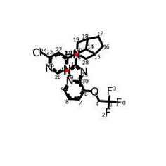 FC(F)(F)COc1cccn2nc(NC3C4CCC3CN(c3cc(Cl)ncn3)C4)nc12